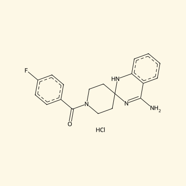 Cl.NC1=NC2(CCN(C(=O)c3ccc(F)cc3)CC2)Nc2ccccc21